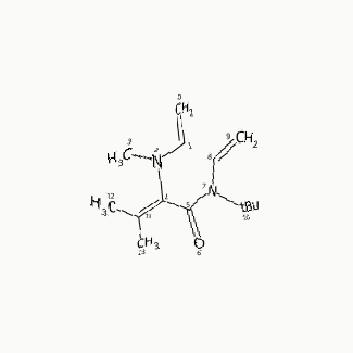 C=CN(C)C(C(=O)N(C=C)C(C)(C)C)=C(C)C